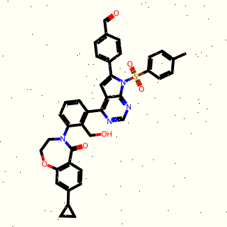 Cc1ccc(S(=O)(=O)n2c(-c3ccc(C=O)cc3)cc3c(-c4cccc(N5CCOc6cc(C7CC7)ccc6C5=O)c4CO)ncnc32)cc1